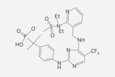 CC[N+](CC)(c1ncccc1CNc1nc(Nc2ccc(C(C)(C)P(=O)([O-])O)cc2)ncc1C(F)(F)F)S(C)(=O)=O